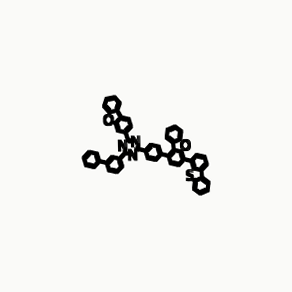 c1ccc(-c2cccc(-c3nc(-c4ccc(-c5ccc(-c6cccc7c6sc6ccccc67)c6oc7ccccc7c56)cc4)nc(-c4ccc5c(c4)oc4ccccc45)n3)c2)cc1